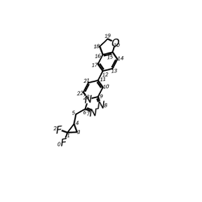 FC1(F)CC1Cc1nnc2cc(-c3ccc4c(c3)CCO4)ccn12